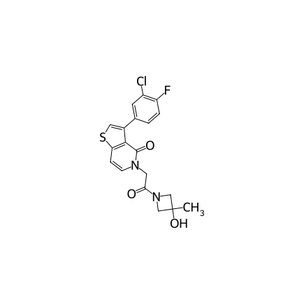 CC1(O)CN(C(=O)Cn2ccc3scc(-c4ccc(F)c(Cl)c4)c3c2=O)C1